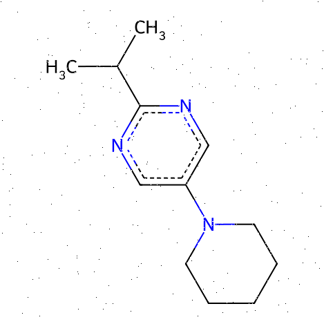 CC(C)c1ncc(N2CCCCC2)cn1